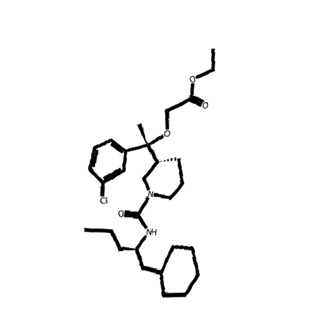 CCC[C@H](CC1CCCCC1)NC(=O)N1CCC[C@@H]([C@@](C)(OCC(=O)OCC)c2cccc(Cl)c2)C1